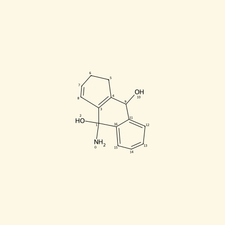 NC1(O)C2=C(CCC=C2)C(O)c2ccccc21